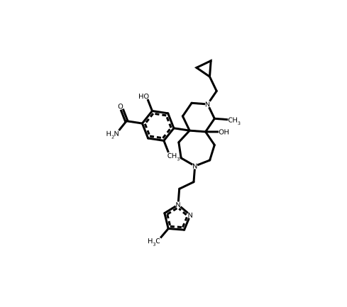 Cc1cnn(CCN2CCC3(c4cc(O)c(C(N)=O)cc4C)CCN(CC4CC4)C(C)C3(O)CC2)c1